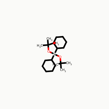 CC(C)(C)O[Si](OC(C)(C)C)(C1CCCCC1)C1CCCCC1